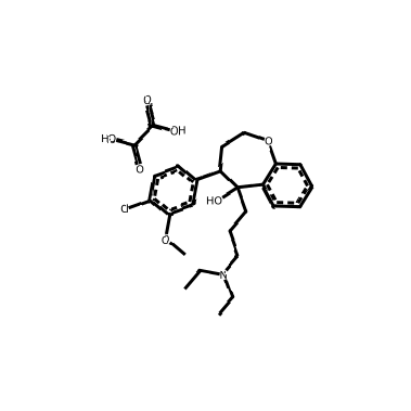 CCN(CC)CCCC1(O)c2ccccc2OCCC1c1ccc(Cl)c(OC)c1.O=C(O)C(=O)O